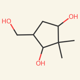 CC1(C)C(O)CC(CO)C1O